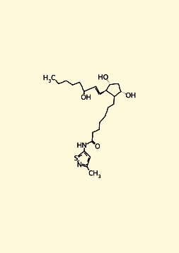 CCCCC[C@H](O)/C=C/[C@@H]1C(CCCCCCC(=O)Nc2cc(C)ns2)[C@@H](O)C[C@H]1O